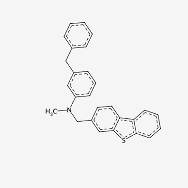 CN(Cc1ccc2c(c1)sc1ccccc12)c1cccc(Cc2ccccc2)c1